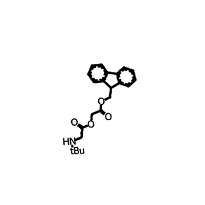 CC(C)(C)NCC(=O)OCC(=O)OCC1c2ccccc2-c2ccccc21